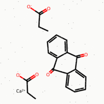 CCC(=O)[O-].CCC(=O)[O-].O=C1c2ccccc2C(=O)c2ccccc21.[Ca+2]